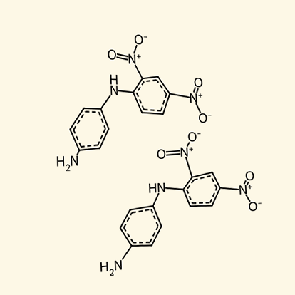 Nc1ccc(Nc2ccc([N+](=O)[O-])cc2[N+](=O)[O-])cc1.Nc1ccc(Nc2ccc([N+](=O)[O-])cc2[N+](=O)[O-])cc1